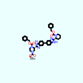 CC(C)(C)OC(=O)N1CCN(C(=O)OCc2ccccc2)[C@H](c2nc3cc(-c4ccc5[nH]c([C@@H]6CCCCN6C(=O)OCc6ccccc6)nc5c4)ccc3[nH]2)C1